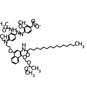 CCCCCCCCCCCCCCCC(=O)Nc1cc(OCCN(CC)c2ccc(N=Nc3ccc([N+](=O)[O-])cc3OC)c(NC(C)=O)c2)c2ccccc2c1OCOC(C)OC